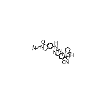 CN(C)CCN1CCc2cc(Nc3ncc4cc(C#N)c(=O)n(C5CCCC5(C)O)c4n3)ccc2C1=O